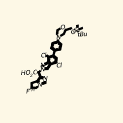 CC(C)(C)[Si](C)(C)OCC1CN(c2ccc(-c3cc(Cl)c4cn(C(C(=O)O)c5ncn6c5C[C@@H](F)C6)nc4c3Cl)cc2)CCO1